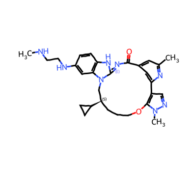 CNCCNc1ccc2c(c1)N1C[C@H](C3CC3)CCCOc3c(cnn3C)-c3cc(cc(C)n3)C(=O)/N=C/1N2